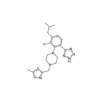 Cc1cnc(CN2CCN(c3c(-c4nn[nH]n4)ccc(CC(C)C)c3F)CC2)s1